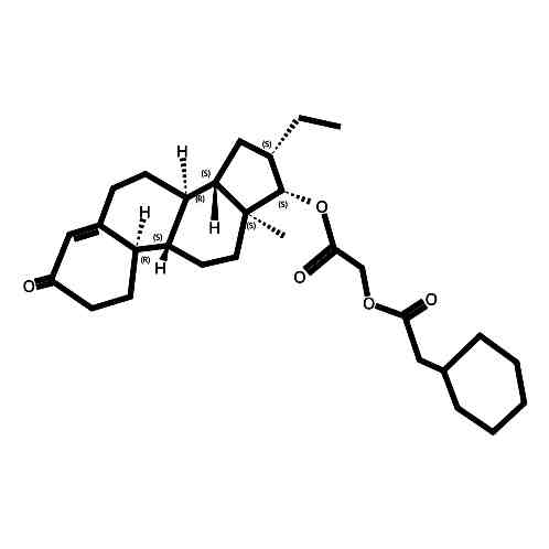 CC[C@H]1C[C@H]2[C@@H]3CCC4=CC(=O)CC[C@@H]4[C@H]3CC[C@]2(C)[C@H]1OC(=O)COC(=O)CC1CCCCC1